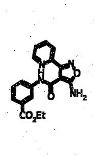 CCOC(=O)c1cccc(NC(=O)c2c(-c3ccccn3)noc2N)c1